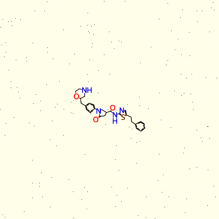 O=C(Nc1ncc(CCc2ccccc2)s1)C1CC(=O)N(c2ccc(CC3CNCCO3)cc2)C1